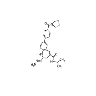 CC(C)NC(=O)C1=Cc2cc(-c3ccc(C(=O)N4CCCC4)cc3)ccc2NC(N=NN)C1